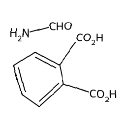 NC=O.O=C(O)c1ccccc1C(=O)O